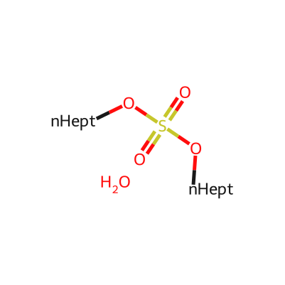 CCCCCCCOS(=O)(=O)OCCCCCCC.O